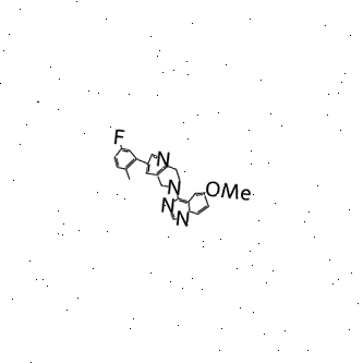 COc1ccc2ncnc(N3CCc4ncc(-c5cc(F)ccc5C)cc4C3)c2c1